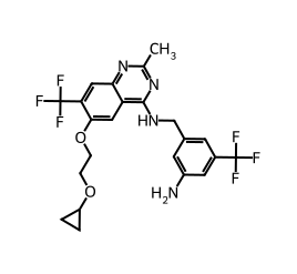 Cc1nc(NCc2cc(N)cc(C(F)(F)F)c2)c2cc(OCCOC3CC3)c(C(F)(F)F)cc2n1